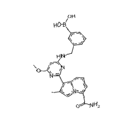 COc1cc(NCc2cccc(B(O)O)c2)nc(-c2c(C)cn3c(C(N)=O)cccc23)n1